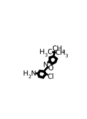 CC(C)(C)c1ccc2oc(-c3cc(N)ccc3Cl)nc2c1